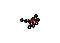 c1ccc(-c2ccc(-c3nc(-c4ccc(-c5ccccc5)cc4)nc(-n4c5ccccc5c5ccc6c7ccccc7n(-c7ccccc7-c7nc8ccccc8s7)c6c54)n3)cc2)cc1